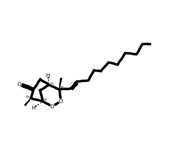 CCCCCCCCC/C=C/[C@]1(C)OO[C@@H]2C[C@H]1CC(=O)[C@@H]2C